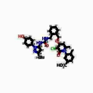 Cc1ccc(C(=O)O)cc1-n1c(C)cc(OCc2ccccc2CNC(=O)Nc2cc(C(C)(C)C)nn2-c2ccc(O)cc2)c(Cl)c1=O